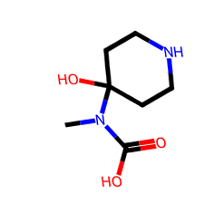 CN(C(=O)O)C1(O)CCNCC1